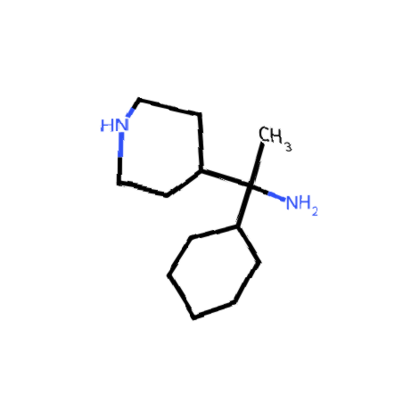 CC(N)(C1CCCCC1)C1CCNCC1